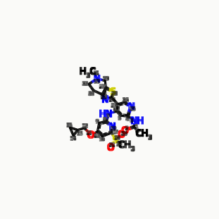 CC(=O)Nc1cc(Nc2cc(OCC3CC3)cc(S(C)(=O)=O)n2)c(-c2nc3c(s2)CN(C)CC3)cn1